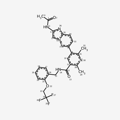 CC(=O)Nc1cn2nc(-c3cc(C(=O)NCc4ccccc4OCC(F)(F)F)c(C)nc3C)ccc2n1